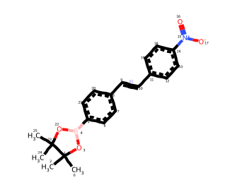 CC1(C)OB(c2ccc(/C=C/c3ccc([N+](=O)[O-])cc3)cc2)OC1(C)C